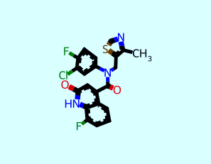 Cc1ncsc1CN(C(=O)c1cc(=O)[nH]c2c(F)cccc12)c1ccc(F)c(Cl)c1